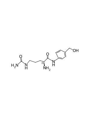 NC(=O)NCCC[C@H](N)C(=O)Nc1ccc(CO)cc1